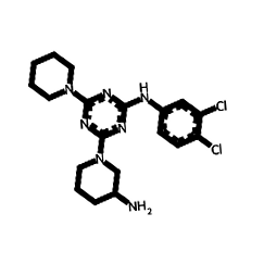 NC1CCCN(c2nc(Nc3ccc(Cl)c(Cl)c3)nc(N3CCCCC3)n2)C1